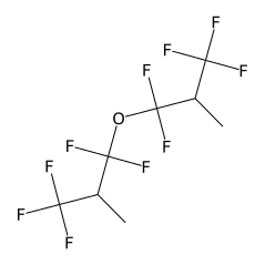 CC(C(F)(F)F)C(F)(F)OC(F)(F)C(C)C(F)(F)F